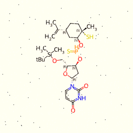 C=C(C)[C@@H]1CC[C@](C)(S)[C@@H](O[PH](=S)O[C@H]2C[C@H](n3ccc(=O)[nH]c3=O)O[C@@H]2CO[Si](C)(C)C(C)(C)C)C1